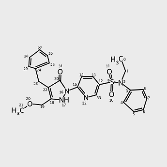 CCN(c1ccccc1)S(=O)(=O)c1ccc(-n2[nH]c(COC)c(Cc3ccccc3)c2=O)nc1